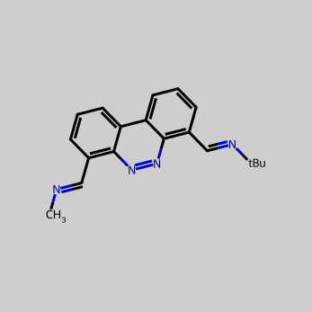 C/N=C/c1cccc2c1nnc1c(/C=N/C(C)(C)C)cccc12